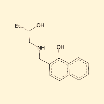 CC[C@H](O)CNCc1ccc2ccccc2c1O